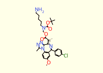 COc1ccc2c(c1)C(c1ccc(Cl)cc1)=N[C@@H]([C@@H](C)C(=O)OCN(CCCCCN)C(=O)OC(C)(C)C)c1nnc(C)n1-2